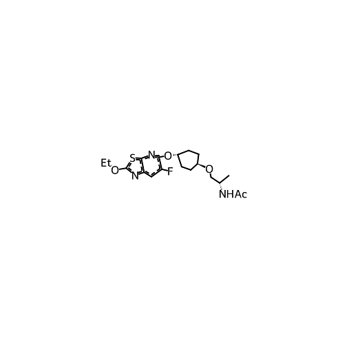 CCOc1nc2cc(F)c(O[C@H]3CC[C@H](OC[C@H](C)NC(C)=O)CC3)nc2s1